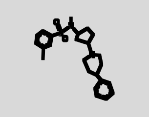 Cc1cccc(S(=O)(=O)N(C)C2CCC(N3CCC(c4ccccc4)CC3)C2)c1